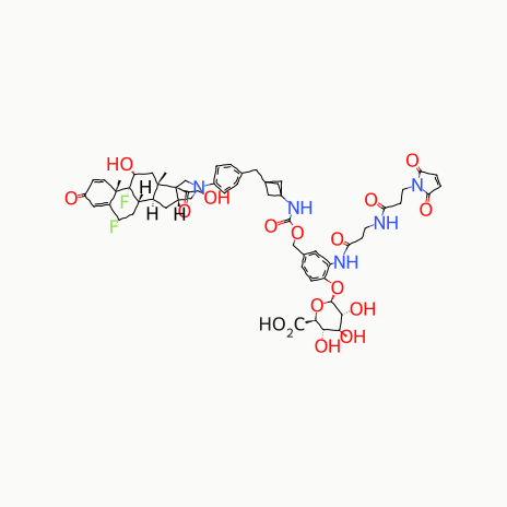 C[C@]12C=CC(=O)C=C1[C@@H](F)C[C@H]1[C@@H]3C[C@H]4CN(c5ccc(CC67CC(NC(=O)OCc8ccc(O[C@@H]9O[C@H](C(=O)O)[C@@H](O)[C@H](O)[C@H]9O)c(NC(=O)CCNC(=O)CCN9C(=O)C=CC9=O)c8)(C6)C7)cc5)C[C@@]4(C(=O)CO)[C@@]3(C)C[C@H](O)[C@@]12F